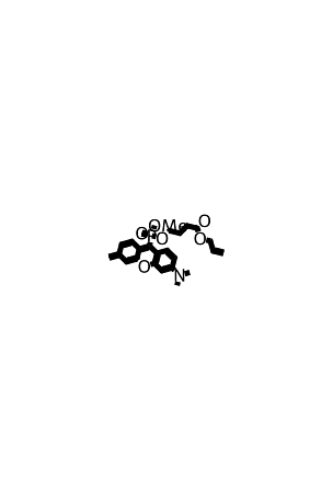 C=CCOC(=O)CCCOP(=O)(OC)C1=c2ccc(=C)cc2Oc2cc(N(C)C)ccc21